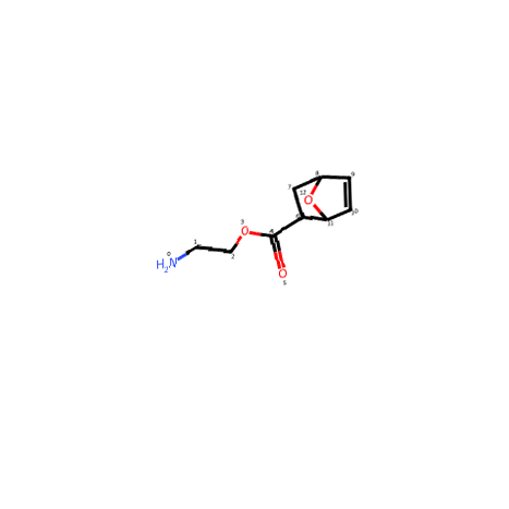 NCCOC(=O)C1CC2C=CC1O2